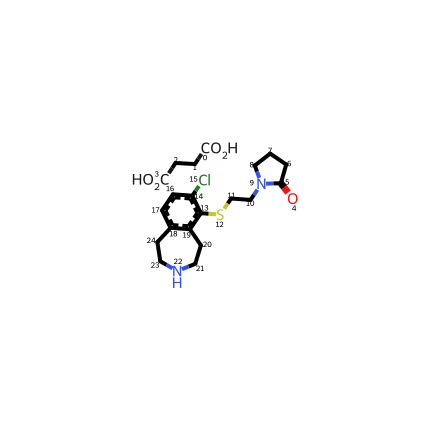 O=C(O)CCC(=O)O.O=C1CCCN1CCSc1c(Cl)ccc2c1CCNCC2